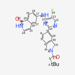 CC(C)(C)CC(=O)N1Cc2ccc(-c3ncc(F)c(Nc4ccc5c(=O)[nH]ccc5c4)n3)cc2C1